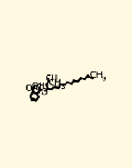 CCCCCCCCCCCCCCC(CC(C)C)OC(=O)C1CC=CCC1C(=O)O